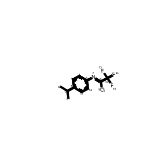 CC(C)c1ccc(N=C(Cl)C(F)(F)F)cc1